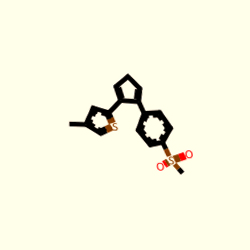 Cc1csc(C2=CCC=C2c2ccc(S(C)(=O)=O)cc2)c1